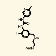 CNCCN(C)Cc1ccc(F)c(NC(=O)Nc2ccc(C)nc2)c1